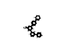 Clc1cc(-c2ccc(C3=CCCCC3)cc2)cc(-c2cccc(-c3ccccc3)c2)c1